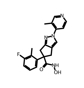 Cc1cnccc1-n1cc2c(n1)CC(C(=O)NO)(c1cccc(F)c1C)C2